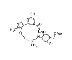 COCc1cc2c(cc1C(C)C)N1C[C@H](C)CCCOc3c(cnn3C)-c3cc(cc(C)n3)C(=O)/N=C/1N2